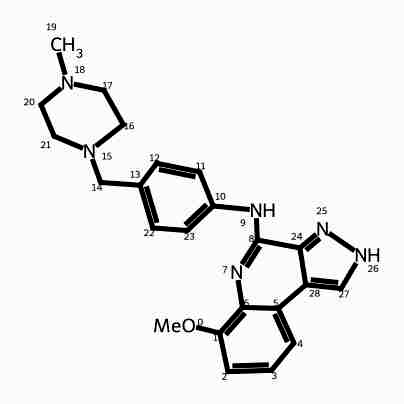 COc1cccc2c1nc(Nc1ccc(CN3CCN(C)CC3)cc1)c1n[nH]cc12